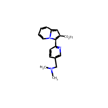 CCOC(=O)c1cc2ccccn2c1-c1ccc(CN(C)C)cn1